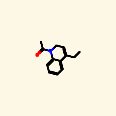 CCC1=CCN(C(C)=O)c2ccccc21